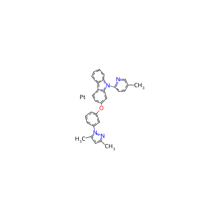 Cc1ccc(-n2c3ccccc3c3ccc(Oc4cccc(-n5nc(C)cc5C)c4)cc32)nc1.[Pt]